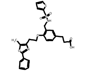 Cc1oc(-c2ccccc2)nc1CCOc1ccc(CCC(=O)O)cc1CNS(=O)(=O)c1cccs1